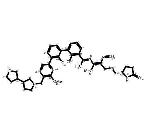 C=N/C(CNC[C@@H]1CCC(=O)N1)=C(\N=C(/C)c1cccc(-c2cccc(-c3cnc(CN4CCC(C5CCOC5)C4)c(OC)n3)c2Cl)c1Cl)OC